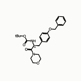 CC(C)(C)OC(=O)N[C@@H](Cc1ccc(OCc2ccccc2)cc1)C(=O)N1CCOCC1